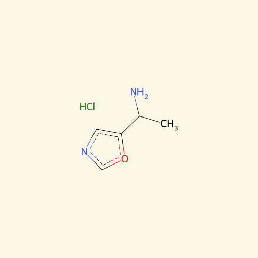 CC(N)c1cnco1.Cl